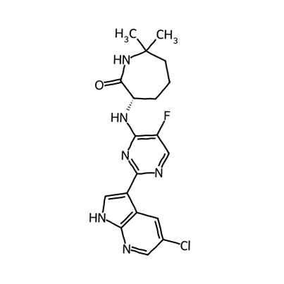 CC1(C)CCC[C@H](Nc2nc(-c3c[nH]c4ncc(Cl)cc34)ncc2F)C(=O)N1